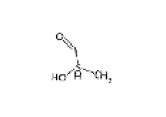 C[SH](O)C=O